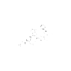 CC(C)[C@@H](NC(=O)c1cnccn1)C(=O)N[C@H](C(=O)N1C[C@H]2[C@H](CC[C@@]2(C)O)C1C(=O)NC(CC(F)F)C(=O)C(=O)NC1CC1)C(C)(C)C